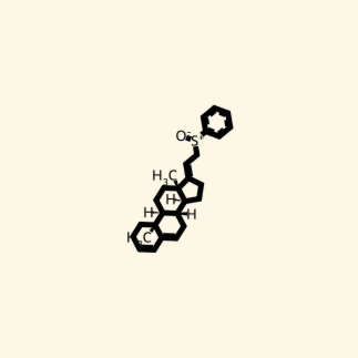 C[C@]12CCC=CC1=CC[C@@H]1[C@@H]2CC[C@]2(C)C(=CC[S+]([O-])c3ccccc3)CC[C@@H]12